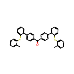 Cc1ccccc1Sc1ccccc1-c1ccc(C(=O)c2ccc(-c3ccccc3Sc3ccccc3C)cc2)cc1